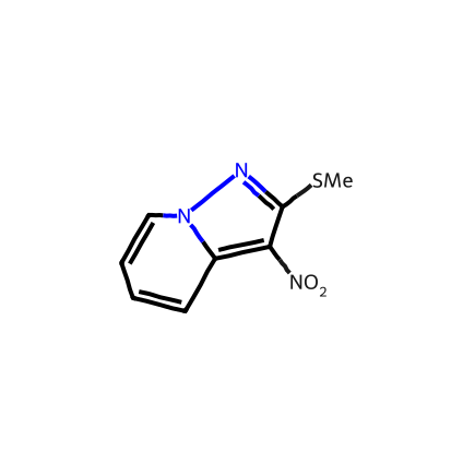 CSc1nn2ccccc2c1[N+](=O)[O-]